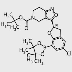 CC(C)(C)OC(=O)N1CCc2noc([C@H]3Cc4cc(Cl)cc(B5OC(C)(C)C(C)(C)O5)c4O3)c2C1